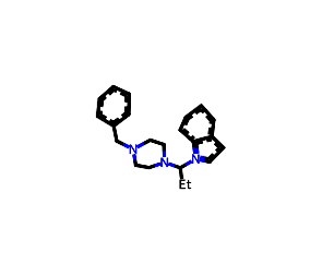 CCC(N1CCN(Cc2ccccc2)CC1)n1ccc2ccccc21